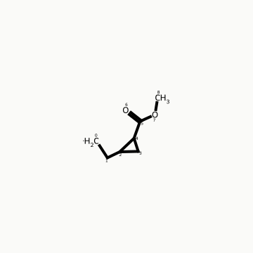 [CH2]CC1CC1C(=O)OC